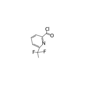 CC(F)(F)c1cccc(C(=O)Cl)n1